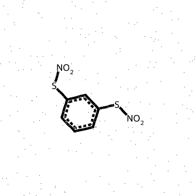 O=[N+]([O-])Sc1[c]ccc(S[N+](=O)[O-])c1